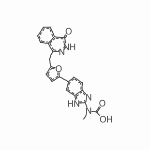 CN(C(=O)O)c1nc2ccc(-c3ccc(Cc4n[nH]c(=O)c5ccccc45)o3)cc2[nH]1